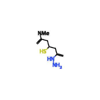 C=C(CC(S)CC(=C)NN)NC